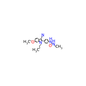 CCCCn1c(-c2ccc(NC(=O)NCC)cc2)c(C#N)c2ccc(OCC)cc21